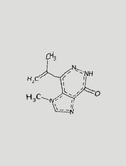 C=C(C)c1n[nH]c(=O)c2ncn(C)c12